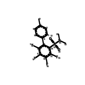 Cc1ccc(-c2c(F)c(F)c(F)c(F)c2S(=O)(=O)N(C)C)cc1